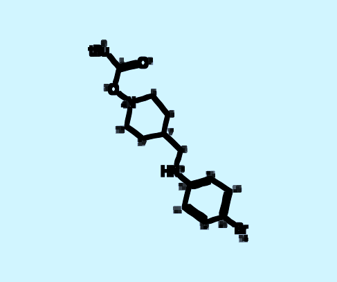 CC(C)(C)C(=O)ON1CCC(CNc2ccc(Br)cc2)CC1